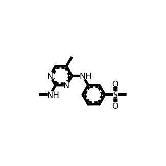 CNc1ncc(C)c(Nc2cccc(S(C)(=O)=O)c2)n1